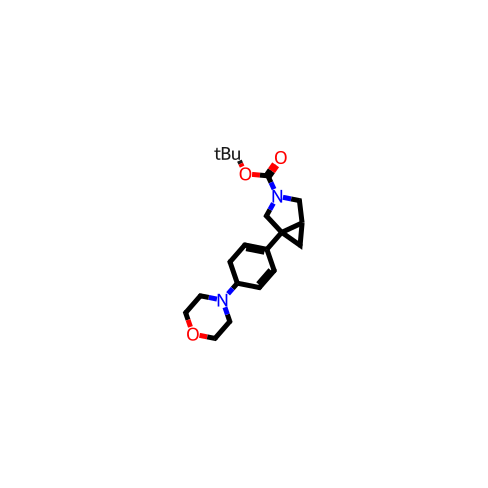 CC(C)(C)OC(=O)N1CC2CC2(C2=CCC(N3CCOCC3)C=C2)C1